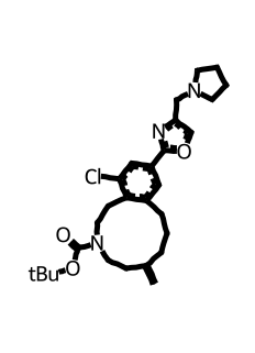 C=C1CCCc2cc(-c3nc(CN4CCCC4)co3)cc(Cl)c2CCN(C(=O)OC(C)(C)C)CC1